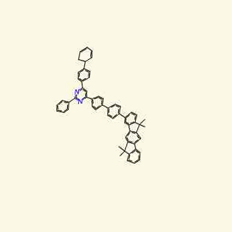 CC1(C)c2ccccc2-c2cc3c(cc21)-c1cc(-c2ccc(-c4ccc(-c5cc(-c6ccc(C7C=CC=CC7)cc6)nc(-c6ccccc6)n5)cc4)cc2)ccc1C3(C)C